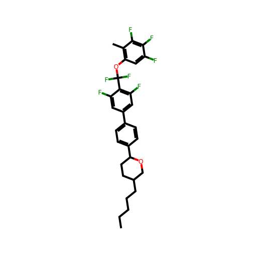 CCCCCC1CCC(c2ccc(-c3cc(F)c(C(F)(F)Oc4cc(F)c(F)c(F)c4C)c(F)c3)cc2)OC1